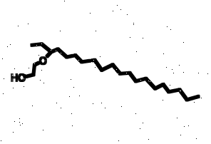 CCCCCCCCCCCCCCCCCC(CC)OCCO